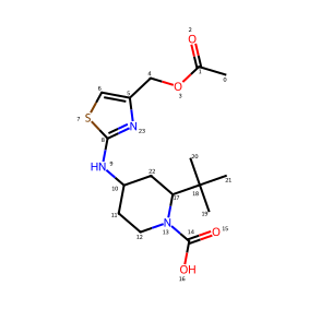 CC(=O)OCc1csc(NC2CCN(C(=O)O)C(C(C)(C)C)C2)n1